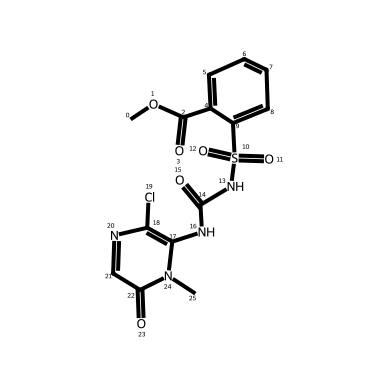 COC(=O)c1ccccc1S(=O)(=O)NC(=O)Nc1c(Cl)ncc(=O)n1C